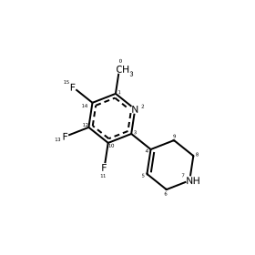 Cc1nc(C2=CCNCC2)c(F)c(F)c1F